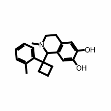 Cc1ccccc1C1(C2c3cc(O)c(O)cc3CCN2C)CCC1